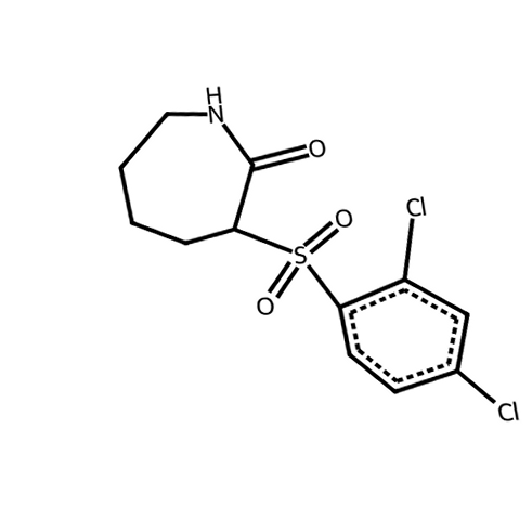 O=C1NCCCCC1S(=O)(=O)c1ccc(Cl)cc1Cl